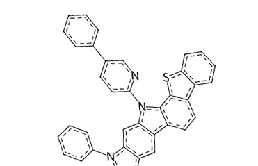 c1ccc(-c2ccc(-n3c4cc5c(ccn5-c5ccccc5)cc4c4ccc5c6ccccc6sc5c43)nc2)cc1